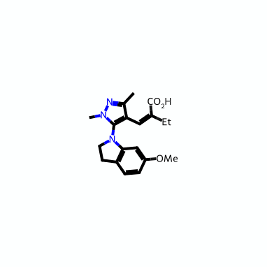 CCC(=Cc1c(C)nn(C)c1N1CCc2ccc(OC)cc21)C(=O)O